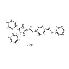 Cl.c1ccc(COc2ccc(CSC3=N[C@H](c4ccccc4)[C@H](c4ccccc4)N3)cc2)cc1